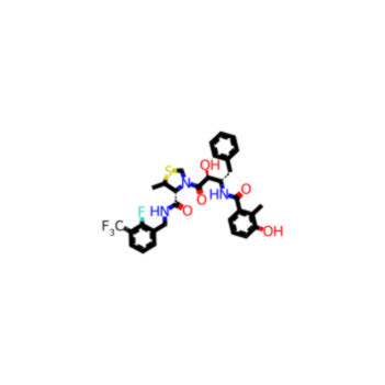 Cc1c(O)cccc1C(=O)N[C@@H](Cc1ccccc1)[C@H](O)C(=O)N1CSC(C)[C@H]1C(=O)NCc1cccc(C(F)(F)F)c1F